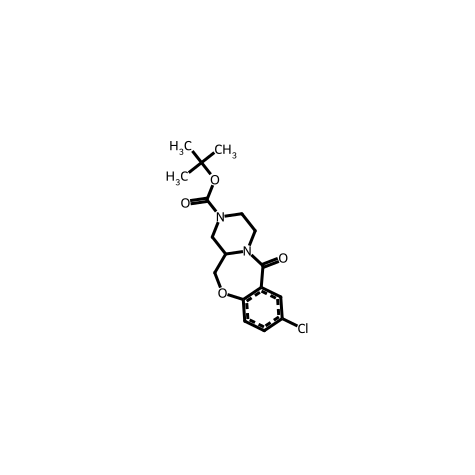 CC(C)(C)OC(=O)N1CCN2C(=O)c3cc(Cl)ccc3OCC2C1